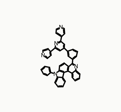 c1ccc(-n2c3ccccc3c3c4c(ccc32)c(-c2cccc(-c3cc(-c5ccncc5)nc(-c5ccncc5)c3)c2)nc2ccccc24)cc1